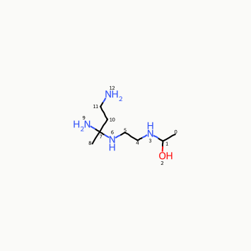 CC(O)NCCNC(C)(N)CCN